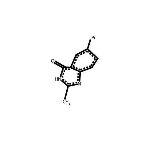 CC(C)c1ccc2nc(C(F)(F)F)[nH]c(=O)c2c1